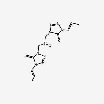 C/C=C/n1nnn(C[S+]([O-])Cn2nnn(/C=C/C)c2=O)c1=O